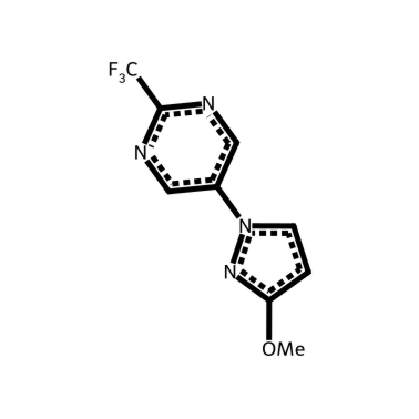 COc1ccn(-c2cnc(C(F)(F)F)nc2)n1